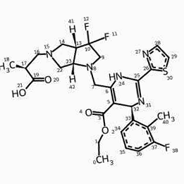 CCOC(=O)C1=C(CN2CC(F)(F)[C@H]3CN(C[C@H](C)C(=O)O)C[C@H]32)NC(c2nccs2)=N[C@H]1c1cccc(F)c1C